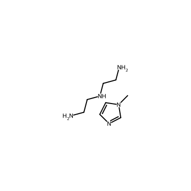 Cn1ccnc1.NCCNCCN